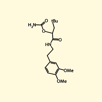 COc1ccc(CCNC(=O)C(CC(C)(C)C)OC(N)=O)cc1OC